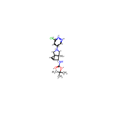 CC(C)(C)OC(=O)N[C@@H]1C2=CC23CN(c2cnnc(Cl)c2)C[C@@H]13